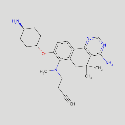 C#CCCN(C)c1c(O[C@H]2CC[C@H](N)CC2)ccc2c1CC(C)(C)c1c(N)ncnc1-2